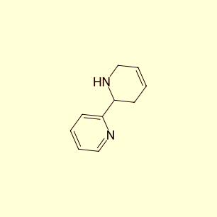 C1=CCC(c2ccccn2)NC1